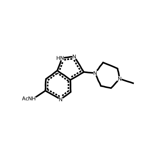 CC(=O)Nc1cc2[nH]nc(N3CCN(C)CC3)c2cn1